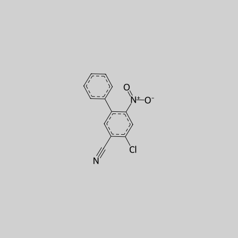 N#Cc1cc(-c2ccccc2)c([N+](=O)[O-])cc1Cl